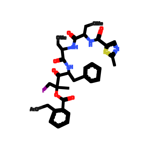 COCC(NC(=O)c1cnc(C)s1)C(=O)NC(COC)C(=O)NC(Cc1ccccc1)C(=O)C(C)(CI)OC(=O)c1ccccc1COC(C)=O